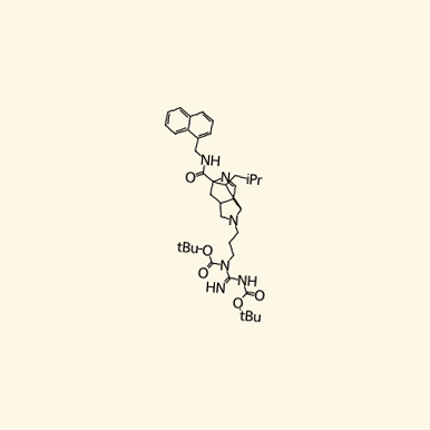 CC(C)CC1C2C3C=NC1(C(=O)NCc1cccc4ccccc14)CC3CN2CCCN(C(=N)NC(=O)OC(C)(C)C)C(=O)OC(C)(C)C